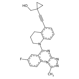 Cc1nnc2nc(N3CCCc4c(C#CC5(CO)CC5)cccc43)c3cc(F)ccc3n12